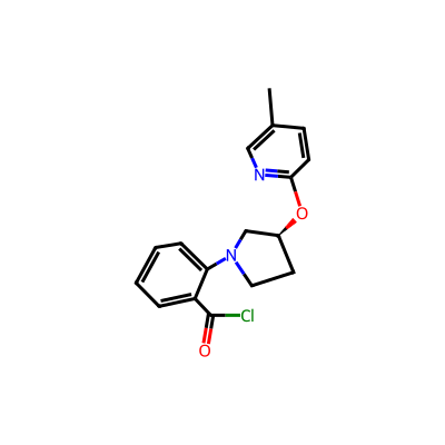 Cc1ccc(O[C@H]2CCN(c3ccccc3C(=O)Cl)C2)nc1